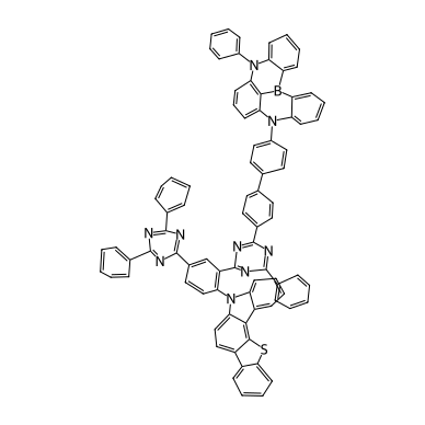 c1ccc(-c2nc(-c3ccccc3)nc(-c3ccc(-n4c5ccccc5c5c6sc7ccccc7c6ccc54)c(-c4nc(-c5ccccc5)nc(-c5ccc(-c6ccc(N7c8ccccc8B8c9ccccc9N(c9ccccc9)c9cccc7c98)cc6)cc5)n4)c3)n2)cc1